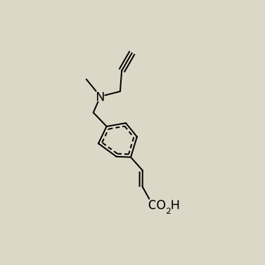 C#CCN(C)Cc1ccc(/C=C/C(=O)O)cc1